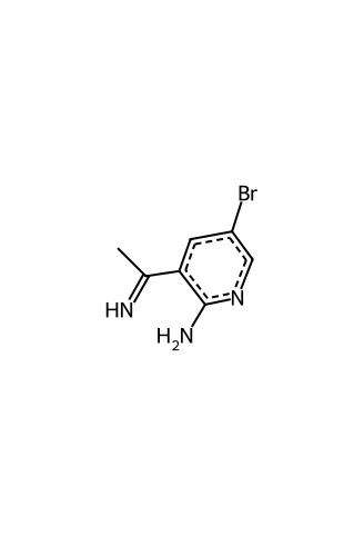 CC(=N)c1cc(Br)cnc1N